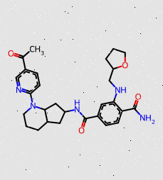 CC(=O)c1ccc(N2CCCC3CC(NC(=O)c4ccc(C(N)=O)c(NCC5CCCO5)c4)CC32)nc1